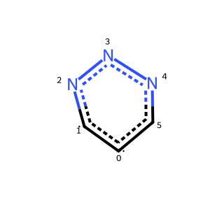 [c]1[c]nnnc1